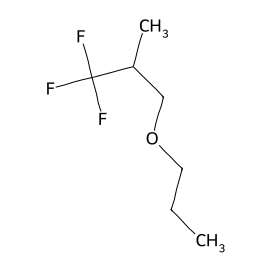 CCCOCC(C)C(F)(F)F